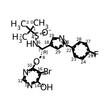 CC(C)(C)[S@@+]([O-])N[C@@H](COc1ncnc(O)c1Br)c1cnn(-c2ccc(F)cc2)c1